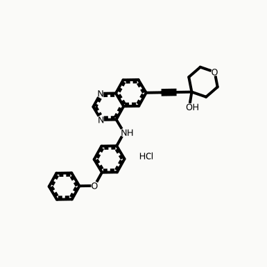 Cl.OC1(C#Cc2ccc3ncnc(Nc4ccc(Oc5ccccc5)cc4)c3c2)CCOCC1